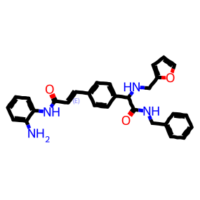 Nc1ccccc1NC(=O)/C=C/c1ccc(C(NCc2ccco2)C(=O)NCc2ccccc2)cc1